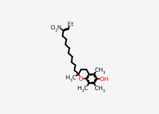 CCC=C(CCCCCCCCCC1(C)CCc2c(C)c(O)c(C)c(C)c2O1)[N+](=O)[O-]